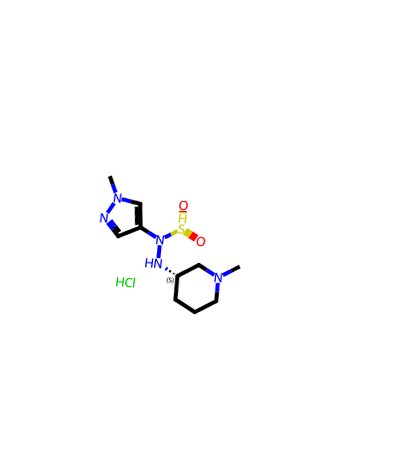 CN1CCC[C@H](NN(c2cnn(C)c2)[SH](=O)=O)C1.Cl